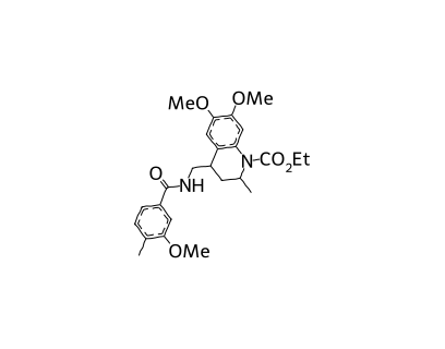 CCOC(=O)N1c2cc(OC)c(OC)cc2C(CNC(=O)c2ccc(C)c(OC)c2)CC1C